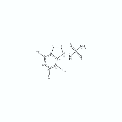 NS(=O)(=O)N[C@H]1CCc2c(F)cc(F)c(F)c21